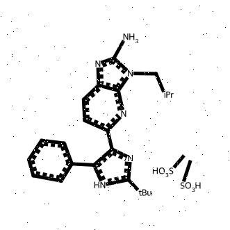 CC(C)Cn1c(N)nc2ccc(-c3nc(C(C)(C)C)[nH]c3-c3ccccc3)nc21.CS(=O)(=O)O.CS(=O)(=O)O